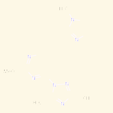 COc1nc(C2C[C@@H]2c2nc3ccccc3n2C)cc(-n2nc(C)nc2C)n1